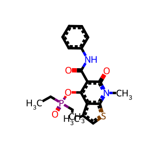 CCP(=O)(CC)Oc1c(C(=O)Nc2ccccc2)c(=O)n(C)c2scc(C)c12